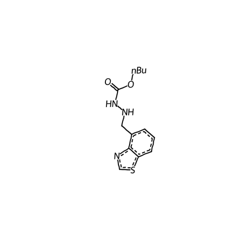 CCCCOC(=O)NNCc1cccc2scnc12